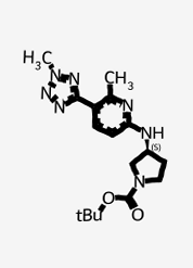 Cc1nc(N[C@H]2CCN(C(=O)OC(C)(C)C)C2)ccc1-c1nnn(C)n1